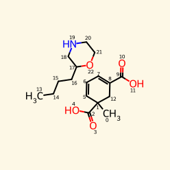 CC1(C(=O)O)C=CC=C(C(=O)O)C1.CCCCC1CNCCO1